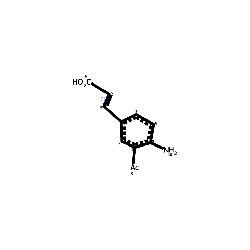 CC(=O)c1cc(/C=C/C(=O)O)ccc1N